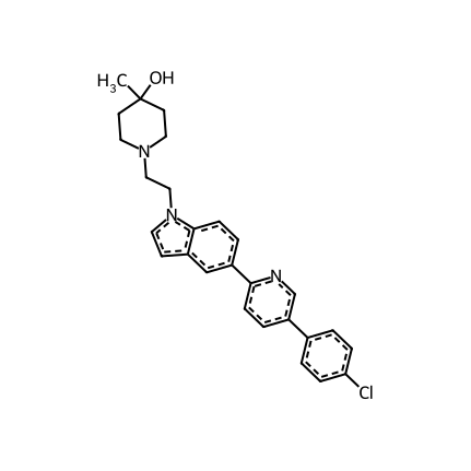 CC1(O)CCN(CCn2ccc3cc(-c4ccc(-c5ccc(Cl)cc5)cn4)ccc32)CC1